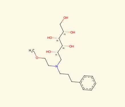 COCCN(CCCc1ccccc1)C[C@H](O)[C@@H](O)[C@H](O)[C@@H](O)CO